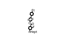 CCCCCCCc1ccc(C(=O)Oc2cnc(-c3ccc(CC)cc3)cn2)c(F)c1